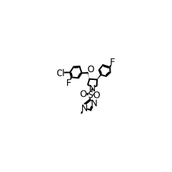 Cn1cnc(S(=O)(=O)N2C[C@H](C(=O)c3ccc(Cl)c(F)c3)[C@@H](c3ccc(F)cc3)C2)c1